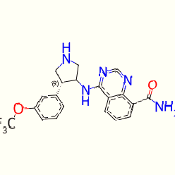 NC(=O)c1cccc2c(NC3CNC[C@H]3c3cccc(OC(F)(F)F)c3)ncnc12